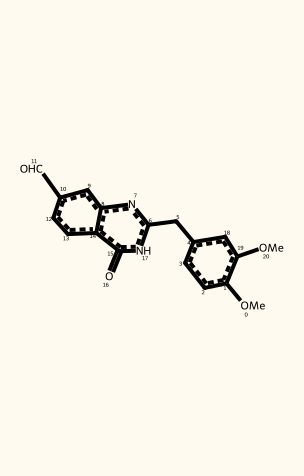 COc1ccc(Cc2nc3cc(C=O)ccc3c(=O)[nH]2)cc1OC